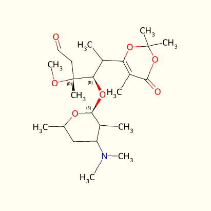 CO[C@](C)(CC=O)[C@H](O[C@@H]1OC(C)CC(N(C)C)C1C)C(C)C1=C(C)C(=O)OC(C)(C)O1